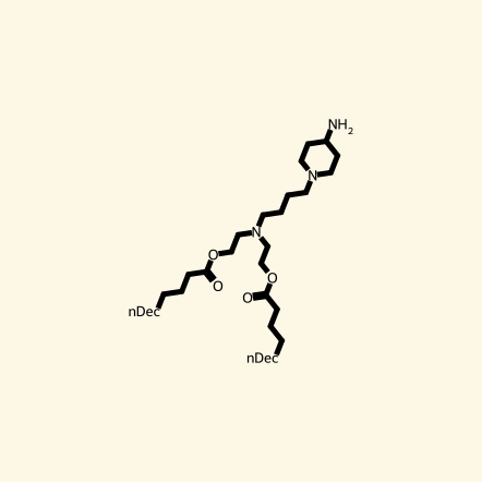 CCCCCCCCCCCCCC(=O)OCCN(CCCCN1CCC(N)CC1)CCOC(=O)CCCCCCCCCCCCC